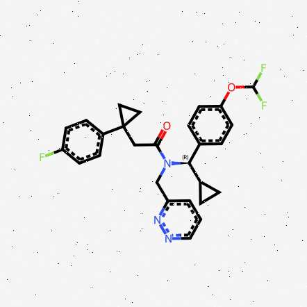 O=C(CC1(c2ccc(F)cc2)CC1)N(Cc1cccnn1)[C@@H](c1ccc(OC(F)F)cc1)C1CC1